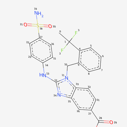 CC(F)(F)c1ccccc1Cn1c(Nc2ccc(S(N)(=O)=O)cc2)nc2cc(C(=O)O)ccc21